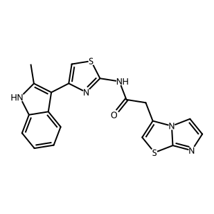 Cc1[nH]c2ccccc2c1-c1csc(NC(=O)Cc2csc3nccn23)n1